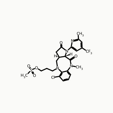 Cc1cc(C(F)(F)F)cc(N2C(=O)C[C@@H]3CN(CCCOS(C)(=O)=O)c4c(Cl)cccc4N(C)C(=O)[C@H]32)n1